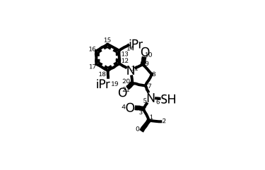 C=C(C)C(=O)N(S)C1CC(=O)N(c2c(C(C)C)cccc2C(C)C)C1=O